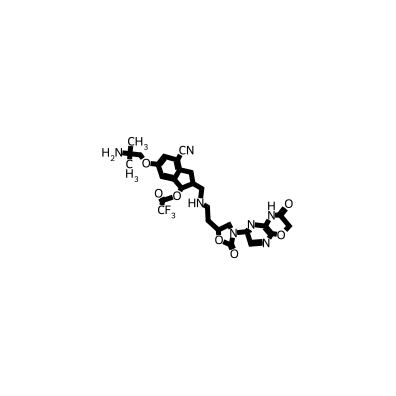 CC(C)(N)COc1cc(C#N)c2c(c1)C(OC(=O)C(F)(F)F)C(CNCCC1CN(c3cnc4c(n3)NC(=O)CO4)C(=O)O1)C2